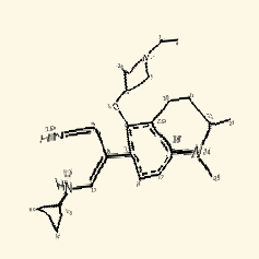 CCN1CC(Oc2c(/C(C=N)=C/NC3CC3)ccc3c2CCC(C)N3C)C1